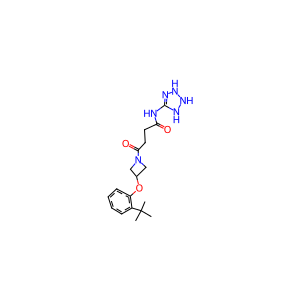 CC(C)(C)c1ccccc1OC1CN(C(=O)CCC(=O)NC2=NNNN2)C1